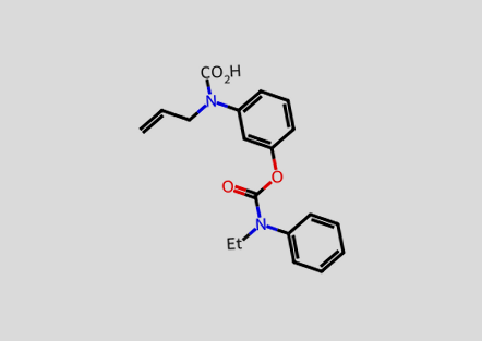 C=CCN(C(=O)O)c1cccc(OC(=O)N(CC)c2ccccc2)c1